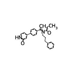 CCC(=O)N(CCCc1ccccc1)[C@@H](C)c1ccc(-c2cc[nH]c(=O)c2)cc1